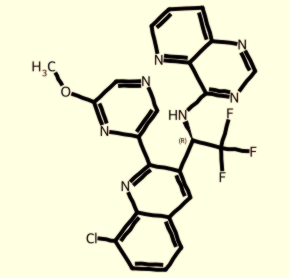 COc1cncc(-c2nc3c(Cl)cccc3cc2[C@@H](Nc2ncnc3cccnc23)C(F)(F)F)n1